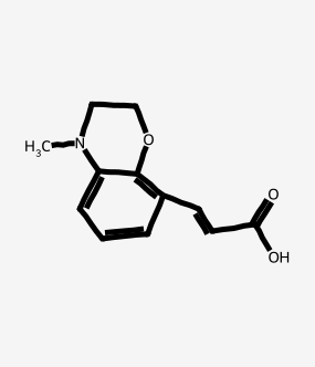 CN1CCOc2c(C=CC(=O)O)cccc21